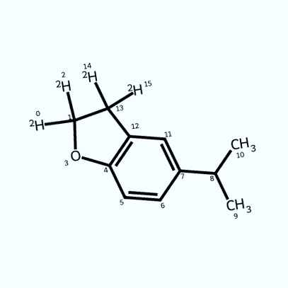 [2H]C1([2H])Oc2ccc(C(C)C)cc2C1([2H])[2H]